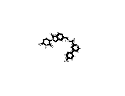 O=C1CCC(N2Cc3cc(CNC(=O)c4cc(-c5ccc(Cl)cc5)ccn4)ccc3C2=O)C(=O)N1